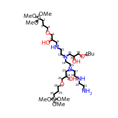 CO[Si](CCCOCC(O)CNCCN(CCN(CCNCCN)CC(O)COCCC[Si](OC)(OC)OC)CC(O)COC(C)(C)C)(OC)OC